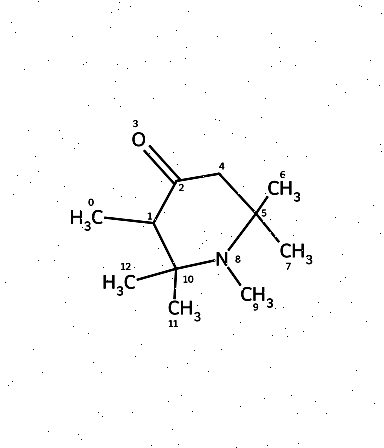 CC1C(=O)CC(C)(C)N(C)C1(C)C